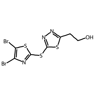 OCCc1nnc(Sc2nc(Br)c(Br)s2)s1